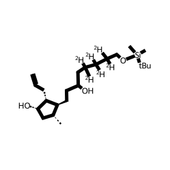 [2H]C([2H])(CO[Si](C)(C)C(C)(C)C)C([2H])([2H])C([2H])([2H])CC(O)CC[C@@H]1[C@@H](CC=C)[C@@H](O)C[C@H]1C